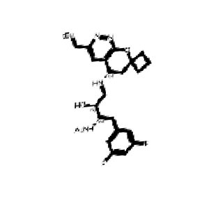 CC(=O)N[C@@H](Cc1cc(F)cc(F)c1)[C@@H](O)CN[C@H]1CC2(CCC2)Oc2nnc(CC(C)(C)C)cc21